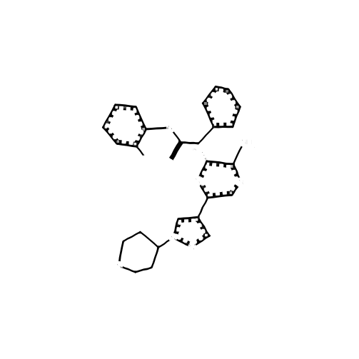 Nc1ncc(-c2cnn(C3CCNCC3)c2)nc1[C@H](C(=O)Nc1ccccc1F)c1ccccc1